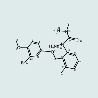 COc1ccc(OCc2c(C)cccc2N(N)C(=O)N(C)N)cc1Br